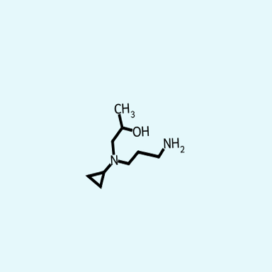 CC(O)CN(CCCN)C1CC1